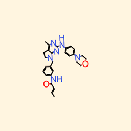 C/C=C/C(=O)Nc1cccc(CN2CCc3c(C)nc(Nc4ccc(N5CCOCC5)cc4)nc32)c1